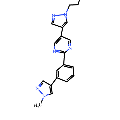 Cn1cc(-c2cccc(-c3ncc(-c4cnn(CCCO)c4)cn3)c2)cn1